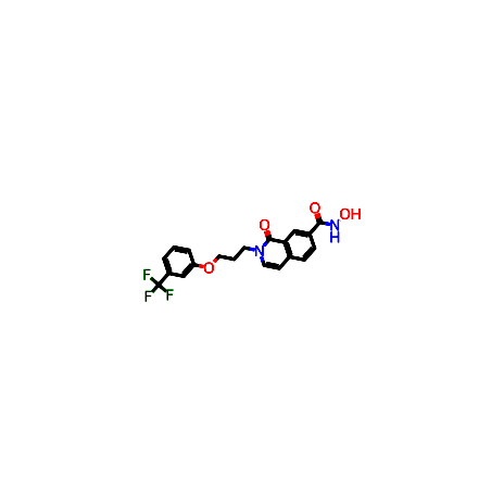 O=C(NO)c1ccc2ccn(CCCOc3cccc(C(F)(F)F)c3)c(=O)c2c1